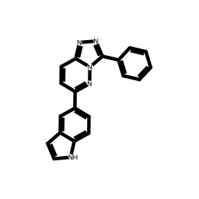 c1ccc(-c2nnc3ccc(-c4ccc5[nH]ccc5c4)nn23)cc1